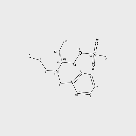 CCCN(Cc1ccccc1)[C@H](CC)COS(C)(=O)=O